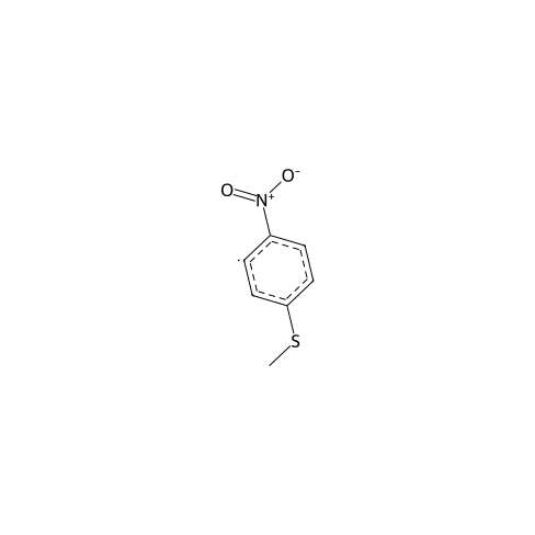 CSc1c[c]c([N+](=O)[O-])cc1